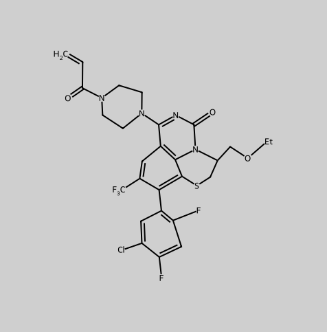 C=CC(=O)N1CCN(c2nc(=O)n3c4c(c(-c5cc(Cl)c(F)cc5F)c(C(F)(F)F)cc24)SCC3COCC)CC1